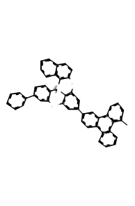 Cc1cccc2c3cc(-c4cc5c6c(c4)Oc4ccc7ccccc7c4P6(=S)c4ccc(-c6ccccc6)cc4O5)ccc3c3ccccc3c12